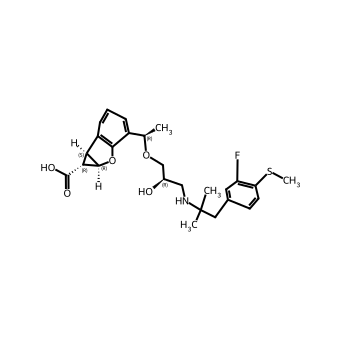 CSc1ccc(CC(C)(C)NC[C@@H](O)CO[C@H](C)c2cccc3c2O[C@H]2[C@H](C(=O)O)[C@@H]32)cc1F